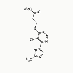 COC(=O)CCSc1ccnc(-c2ccn(C)n2)c1Cl